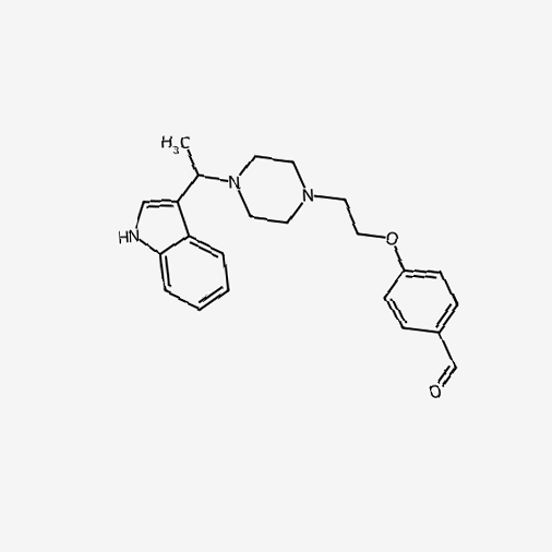 CC(c1c[nH]c2ccccc12)N1CCN(CCOc2ccc(C=O)cc2)CC1